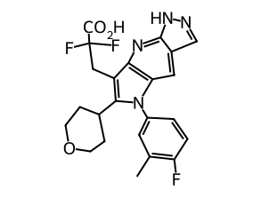 Cc1cc(-n2c(C3CCOCC3)c(CC(F)(F)C(=O)O)c3nc4[nH]ncc4cc32)ccc1F